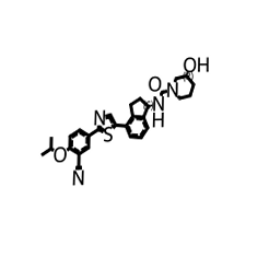 CC(C)Oc1ccc(-c2ncc(-c3cccc4c3CC[C@@H]4NC(=O)N3CCC[C@@H](O)C3)s2)cc1C#N